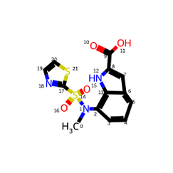 CN(c1cccc2cc(C(=O)O)[nH]c12)S(=O)(=O)c1nccs1